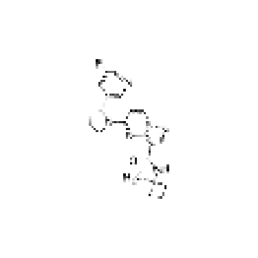 CC1(NC(=O)c2cnn3ccc(N4CCC[C@@H]4c4cncc(F)c4)nc23)CCC1